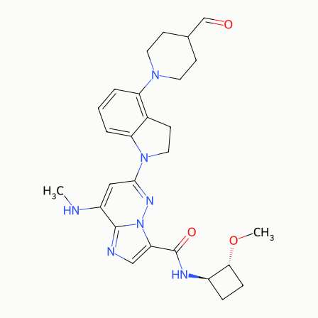 CNc1cc(N2CCc3c(N4CCC(C=O)CC4)cccc32)nn2c(C(=O)N[C@@H]3CC[C@H]3OC)cnc12